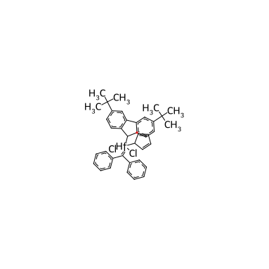 CC(C)(C)c1ccc2c(c1)-c1cc(C(C)(C)C)ccc1[CH]2[Hf]([Cl])([Cl])(=[C](c1ccccc1)c1ccccc1)[CH]1C=CC=C1